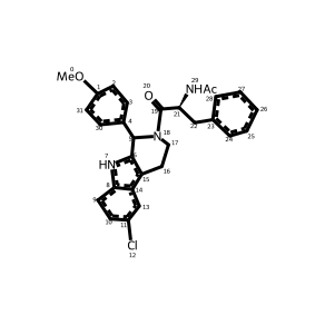 COc1ccc(C2c3[nH]c4ccc(Cl)cc4c3CCN2C(=O)[C@H](Cc2ccccc2)NC(C)=O)cc1